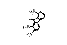 O=Cc1c([N+](=O)[O-])ccc2c1C(=O)c1c-2cccc1[N+](=O)[O-]